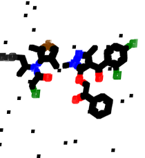 COCC(C)N(C(=O)CCl)c1c(C)csc1C.Cc1nn(C)c(OCC(=O)c2ccccc2)c1C(=O)c1ccc(Cl)cc1Cl